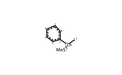 C[S][Zn]([I])[c]1ccccc1